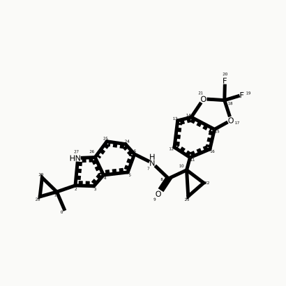 CC1(c2cc3cc(NC(=O)C4(c5ccc6c(c5)OC(F)(F)O6)CC4)ccc3[nH]2)CC1